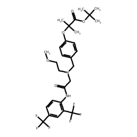 COCCN(CC(=O)Nc1ccc(C(F)(F)F)cc1C(F)(F)F)Cc1ccc(OC(C)(C)C(=O)OC(C)(C)C)cc1